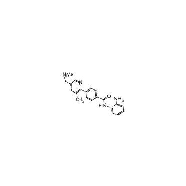 CNCc1cnc(-c2ccc(C(=O)Nc3ccccc3N)cc2)c(C)c1